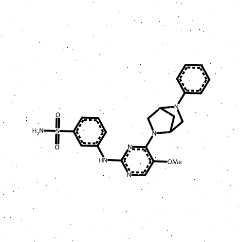 COc1cnc(Nc2cccc(S(N)(=O)=O)c2)nc1N1CC2CC1CN2c1ccccc1